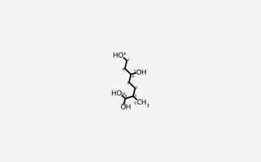 CC(CCC(O)CCO)C(O)O